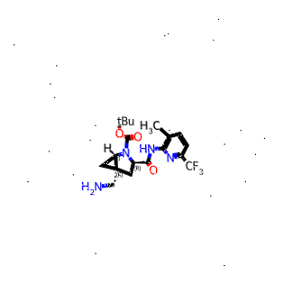 Cc1ccc(C(F)(F)F)nc1NC(=O)[C@H]1C[C@@]2(CN)C[C@H]2N1C(=O)OC(C)(C)C